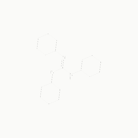 C1CCC(N=C(NC2CCCCC2)NC2CCCCC2)CC1